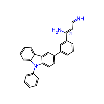 N=C/C=C(\N)c1cccc(-c2ccc3c(c2)c2ccccc2n3-c2ccccc2)c1